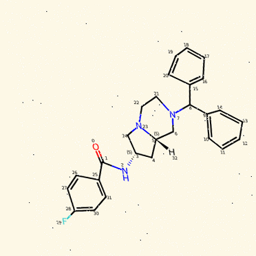 O=C(N[C@H]1C[C@H]2CN(C(c3ccccc3)c3ccccc3)CCN2C1)c1ccc(F)cc1